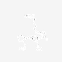 CN1CCC[C@H]1CO.CN1CCC[C@H]1CO.O=C(O)CCCCC(=O)O